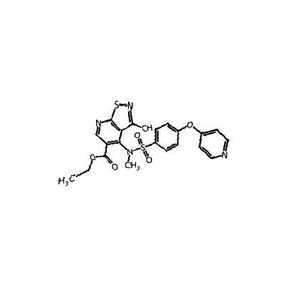 CCOC(=O)c1cnc2snc(C)c2c1N(C)S(=O)(=O)c1ccc(Oc2ccncc2)cc1